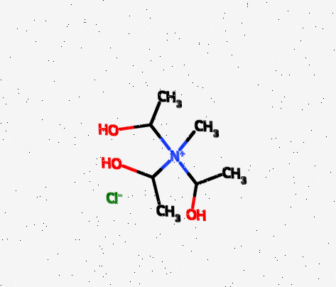 CC(O)[N+](C)(C(C)O)C(C)O.[Cl-]